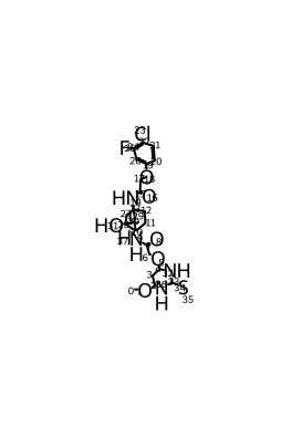 COC1CC(OCC(=O)NC23CCC(NC(=O)COc4ccc(Cl)c(F)c4)(CC2)C[C@@H]3O)NC(SC)N1